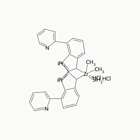 CC(C)C1=Cc2c(-c3ccccn3)cccc2[CH]1[Zr]([CH3])([CH3])(=[SiH2])[CH]1C(C(C)C)=Cc2c(-c3ccccn3)cccc21.Cl.Cl